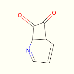 O=C1C(=O)C2N=CC=CC12